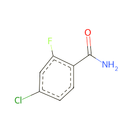 NC(=O)c1ccc(Cl)cc1F